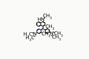 CCNc1ccc(/C(=C2\C=CC(=[N+](CC)CC)C=C2C)c2ccc(N(CC)CC)cc2C)c2ccccc12